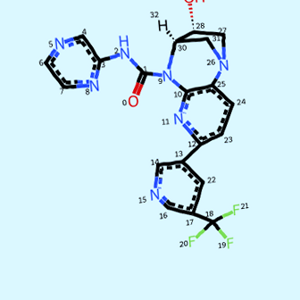 O=C(Nc1cnccn1)N1c2nc(-c3cncc(C(F)(F)F)c3)ccc2N2C[C@@H](O)[C@H]1C2